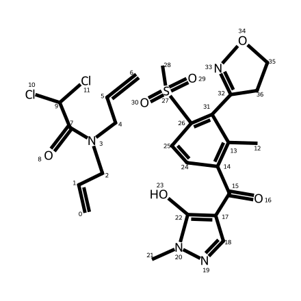 C=CCN(CC=C)C(=O)C(Cl)Cl.Cc1c(C(=O)c2cnn(C)c2O)ccc(S(C)(=O)=O)c1C1=NOCC1